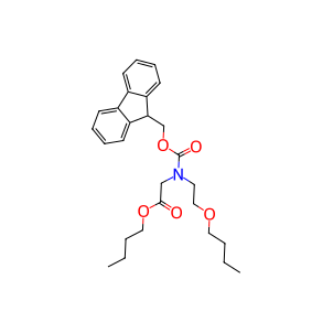 CCCCOCCN(CC(=O)OCCCC)C(=O)OCC1c2ccccc2-c2ccccc21